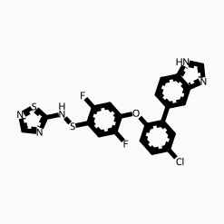 Fc1cc(SNc2ncns2)c(F)cc1Oc1ccc(Cl)cc1-c1ccc2[nH]cnc2c1